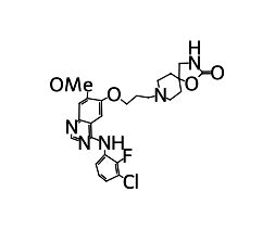 COc1cc2ncnc(Nc3cccc(Cl)c3F)c2cc1OCCCN1CCC2(CC1)CNC(=O)O2